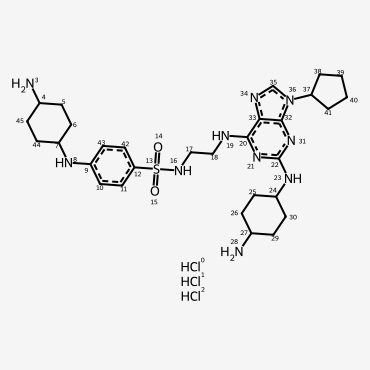 Cl.Cl.Cl.NC1CCC(Nc2ccc(S(=O)(=O)NCCNc3nc(NC4CCC(N)CC4)nc4c3ncn4C3CCCC3)cc2)CC1